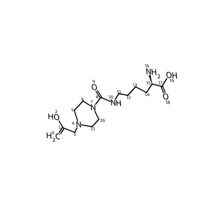 C=C(O)CN1CCN(C(=O)NCCCC[C@@H](N)C(=O)O)CC1